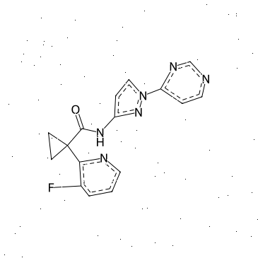 O=C(Nc1ccn(-c2ccncn2)n1)C1(c2ncccc2F)CC1